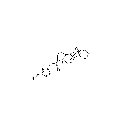 CC1CCC23C(C)OC(CC4C5CCC(C(=O)Cn6ccc(C#N)n6)C5(C)CCC42)C3C1